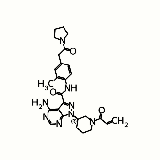 C=CC(=O)N1CCC[C@@H](n2nc(C(=O)Nc3ccc(CC(=O)N4CCCC4)cc3C)c3c(N)ncnc32)C1